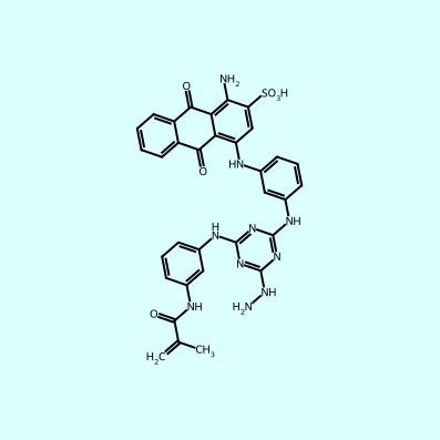 C=C(C)C(=O)Nc1cccc(Nc2nc(NN)nc(Nc3cccc(Nc4cc(S(=O)(=O)O)c(N)c5c4C(=O)c4ccccc4C5=O)c3)n2)c1